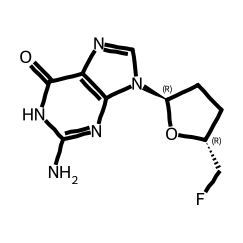 Nc1nc2c(ncn2[C@H]2CC[C@H](CF)O2)c(=O)[nH]1